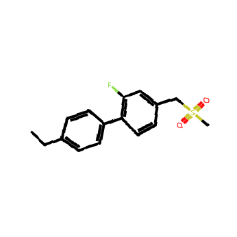 CCc1ccc(-c2ccc(CS(C)(=O)=O)cc2F)cc1